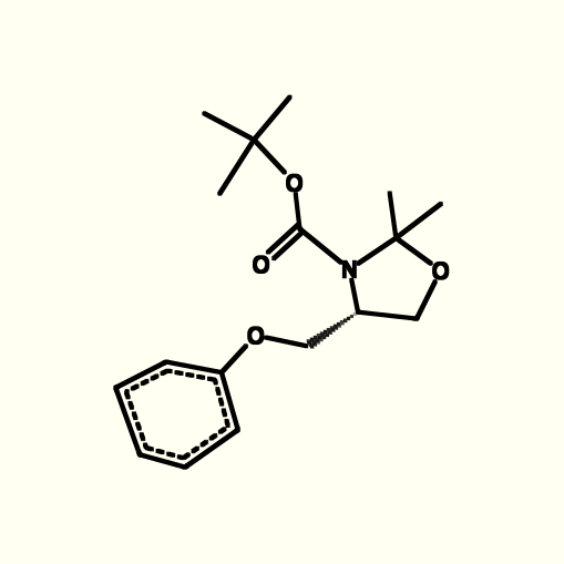 CC(C)(C)OC(=O)N1[C@@H](COc2ccccc2)COC1(C)C